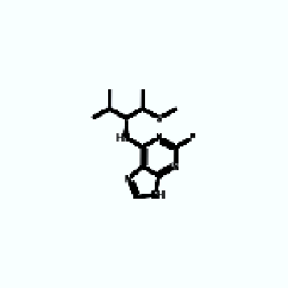 CSC(C)[C@@H](Nc1nc(F)nc2[nH]cnc12)C(C)C